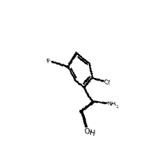 NC(CO)c1cc(F)ccc1Cl